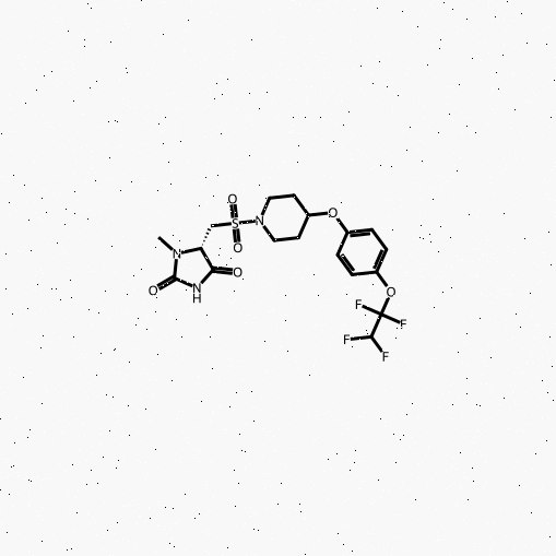 CN1C(=O)NC(=O)[C@H]1CS(=O)(=O)N1CCC(Oc2ccc(OC(F)(F)C(F)F)cc2)CC1